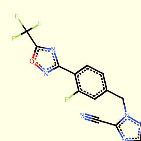 N#Cc1ncnn1Cc1ccc(-c2noc(C(F)(F)F)n2)c(F)c1